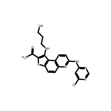 NC(=O)c1oc2ccc3nc(Nc4cc(Cl)ncn4)ccc3c2c1NCCCO